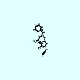 C#CC[C@H]1C[C@@H](CN(CCO)Cc2ccccc2)NC1=O